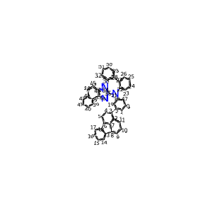 c1cc(-c2ccc3c4c(cccc24)-c2ccccc2-3)cc(N2c3ccccc3-c3ccccc3-n3c2nc2c4ccccc4ccc23)c1